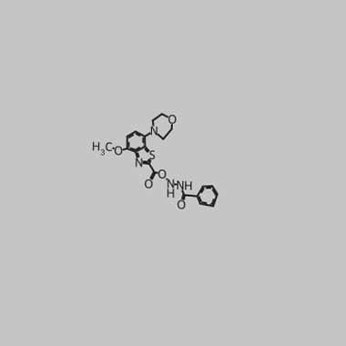 COc1ccc(N2CCOCC2)c2sc(C(=O)ONNC(=O)c3ccccc3)nc12